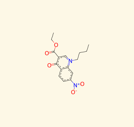 CCCCn1cc(C(=O)OCC)c(=O)c2ccc([N+](=O)[O-])cc21